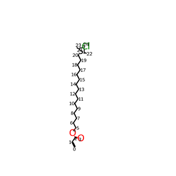 C=CC(=O)OCCCCCCCCCCCCCCCC[Si](C)(C)Cl